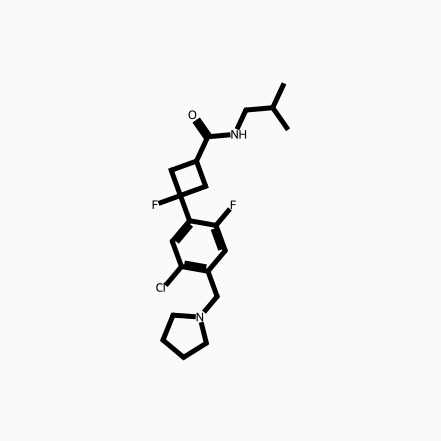 CC(C)CNC(=O)C1CC(F)(c2cc(Cl)c(CN3CCCC3)cc2F)C1